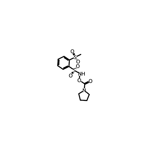 CS(=O)(=O)c1ccccc1S(=O)(=O)NOC(=O)N1CCCC1